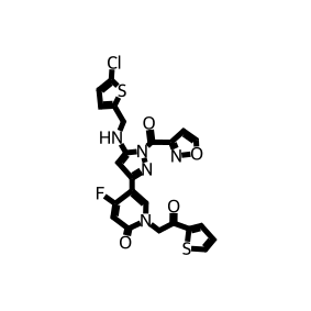 O=C(Cn1cc(-c2cc(NCc3ccc(Cl)s3)n(C(=O)c3ccon3)n2)c(F)cc1=O)c1cccs1